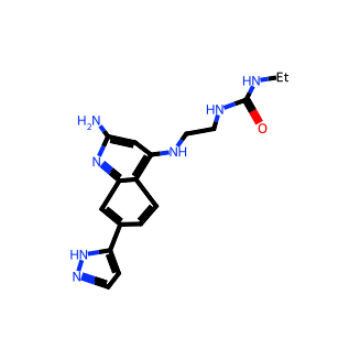 CCNC(=O)NCCNc1cc(N)nc2cc(-c3ccn[nH]3)ccc12